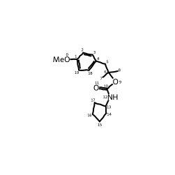 COc1ccc(CC(C)(C)OC(=O)NC2CCCC2)cc1